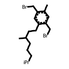 Cc1cc(CBr)c(CCC(C)CCCC(C)C)cc1CBr